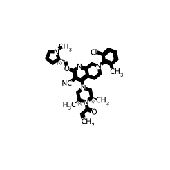 C=CC(=O)N1[C@H](C)CN(c2c(C#N)c(OC[C@@H]3CCCN3C)nc3c2CCN(c2c(C)cccc2Cl)C3)C[C@@H]1C